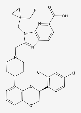 O=C(O)c1ccc2nc(CN3CCC(c4cccc5c4O[C@@H](c4ccc(Cl)cc4Cl)CO5)CC3)n(CC3(CF)CC3)c2n1